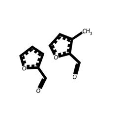 Cc1ccoc1C=O.O=Cc1ccco1